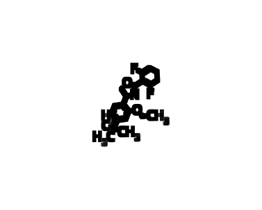 CCOc1cc(C(C)(C)C)ccc1C1COC(C2=C(F)CCC=C2F)=N1